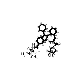 CN(C)S(=O)(=O)NC(=O)c1ccc2c(C3CCCCC3)c3n(c2c1)CC(C(=O)N1CC[C@](C)(F)C1)=Cc1ccccc1-3